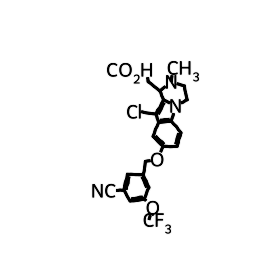 CN1CCn2c(c(Cl)c3cc(OCc4cc(C#N)cc(OC(F)(F)F)c4)ccc32)C1CC(=O)O